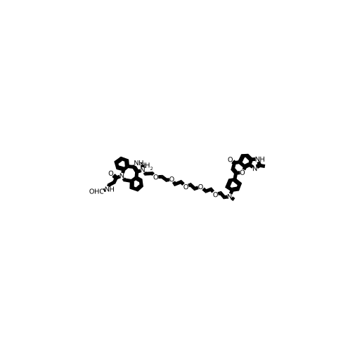 Cc1nc2c(ccc3c(=O)cc(-c4ccc(N(C)CCOCCOCCOCCOCCOCCN(N)/C5=C(\N)c6ccccc6N(C(=O)CCNC=O)Cc6ccccc65)cc4)oc32)[nH]1